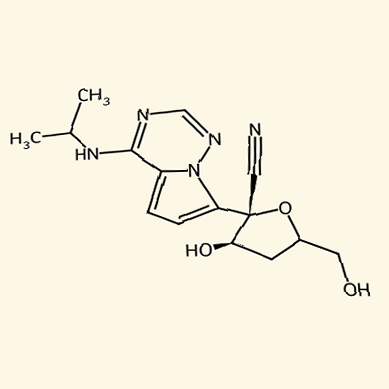 CC(C)Nc1ncnn2c([C@]3(C#N)OC(CO)C[C@H]3O)ccc12